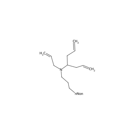 C=CCC(CC=C)N(CC=C)CCCCCCCCCCCC